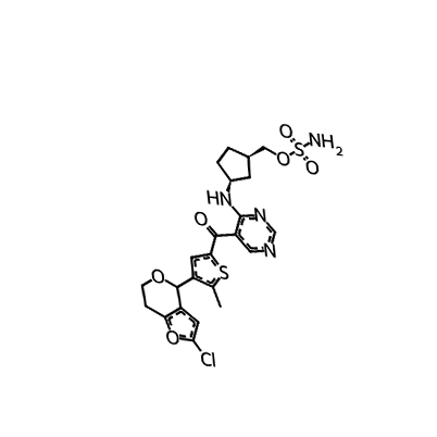 Cc1sc(C(=O)c2cncnc2N[C@H]2CC[C@@H](COS(N)(=O)=O)C2)cc1C1OCCc2oc(Cl)cc21